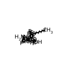 CCCCCCCCOc1ccc(-c2noc([C@@H]3C[C@H](F)CN3C(=N)N)n2)cc1C(F)(F)F.O=C(O)C(F)(F)F